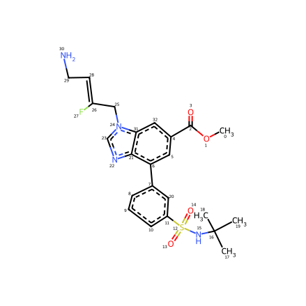 COC(=O)c1cc(-c2cccc(S(=O)(=O)NC(C)(C)C)c2)c2ncn(CC(F)=CCN)c2c1